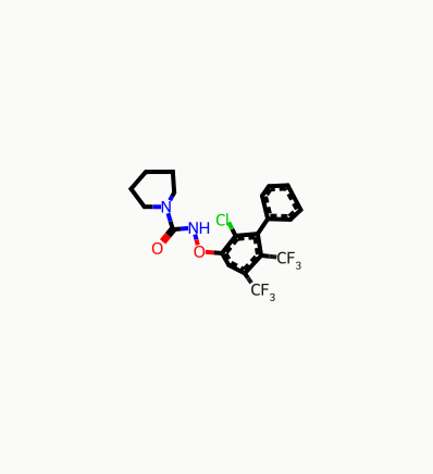 O=C(NOc1cc(C(F)(F)F)c(C(F)(F)F)c(-c2ccccc2)c1Cl)N1CCCCC1